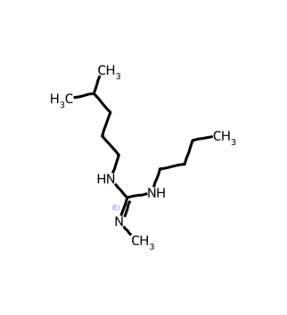 CCCCN/C(=N\C)NCCCC(C)C